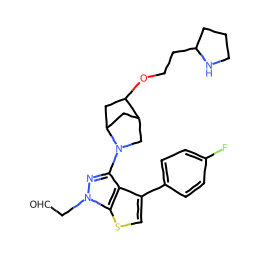 O=CCn1nc(N2CC3CC2CC3OCCC2CCCN2)c2c(-c3ccc(F)cc3)csc21